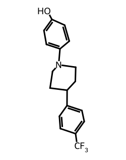 Oc1ccc(N2CCC(c3ccc(C(F)(F)F)cc3)CC2)cc1